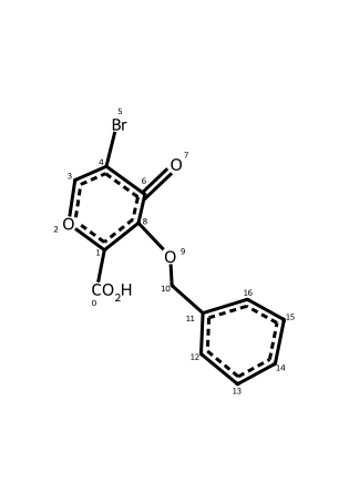 O=C(O)c1occ(Br)c(=O)c1OCc1ccccc1